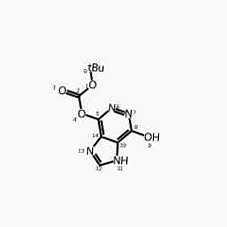 CC(C)(C)OC(=O)Oc1nnc(O)c2[nH]cnc12